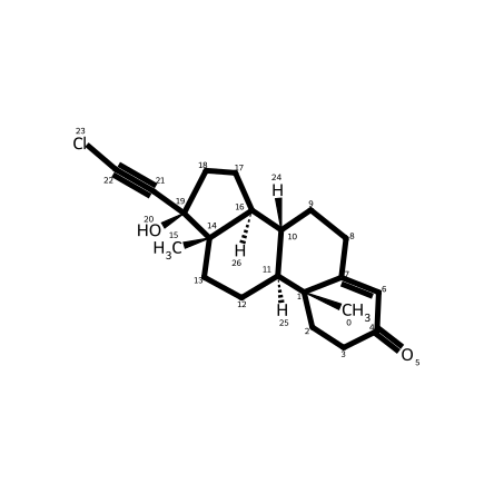 C[C@]12CCC(=O)C=C1CC[C@@H]1[C@@H]2CC[C@@]2(C)[C@H]1CC[C@@]2(O)C#CCl